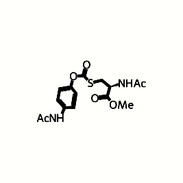 COC(=O)[C@@H](CSC(=O)Oc1ccc(NC(C)=O)cc1)NC(C)=O